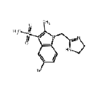 Cc1c(S(C)(=O)=O)c2cc(Br)ccc2n1CC1=NCCN1